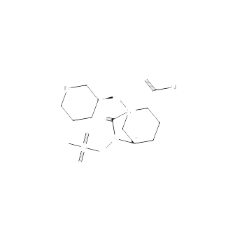 NC(=O)[C@@H]1CC[C@@H]2C[N+]1(O[C@H]1CCCNC1)C(=O)N2OS(=O)(=O)O